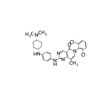 Cc1cn(-c2c(Cl)cccc2Cl)c(=O)c2cnc(Nc3ccc(N[C@H]4CC[C@@H](N(C)C)CC4)cc3)nc12